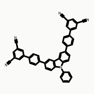 N#Cc1cc(C#N)cc(-c2ccc(-c3ccc4c(c3)c3cc(-c5ccc(-c6cc(C#N)cc(C#N)c6)cc5)ccc3n4-c3ccccc3)cc2)c1